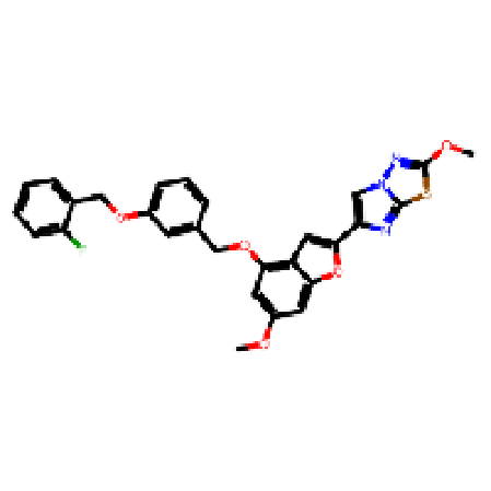 COc1cc(OCc2cccc(OCc3ccccc3F)c2)c2cc(-c3cn4nc(OC)sc4n3)oc2c1